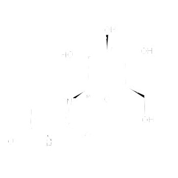 Cc1cn([C@@H]2O[C@H](CO)[C@@H](O)[C@H](O)[C@H]2O)c(=O)[nH]c1=O